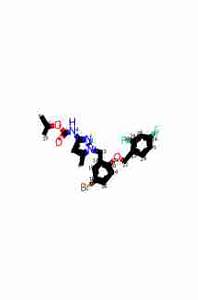 Cc1cc(NC(=O)OC(C)C)nn1Cc1cc(Br)ccc1OCc1ccc(F)cc1F